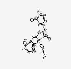 COCOc1c2c(cc3c(C)ccnc13)CN(Cc1ccc(F)c(Cl)c1)C2=O